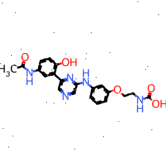 CC(=O)Nc1ccc(O)c(-c2cncc(Nc3cccc(OCCNC(=O)O)c3)n2)c1